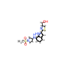 CS(=O)(=O)N1CC[C@@H](Nc2cccc3cc(C4=NC(CO)CS4)[nH]c23)C1